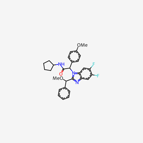 COc1ccc(C(C(=O)NC2CCCC2)n2c(C(OC)c3ccccc3)nc3cc(F)c(F)cc32)cc1